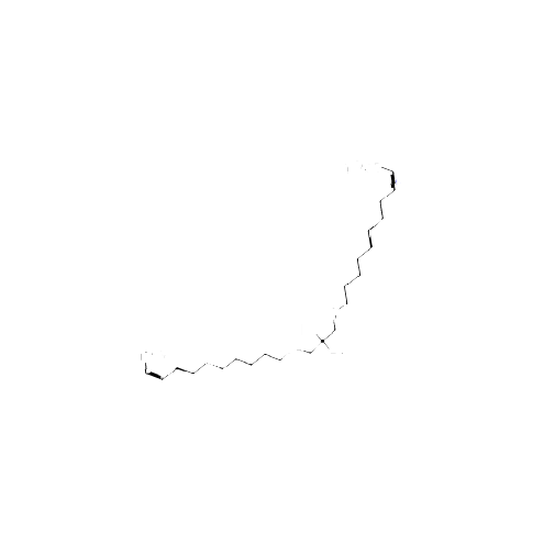 CCCCCCCC/C=C\CCCCCCCCSCC(CC)(CC)CSCCCCCCCC/C=C\CCCCCCCC